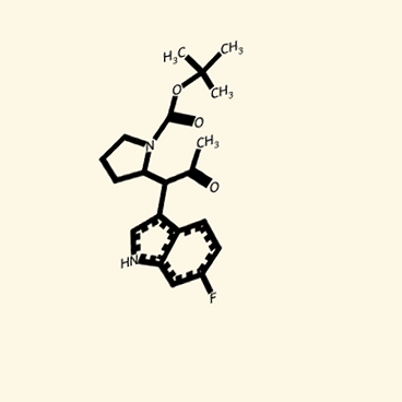 CC(=O)C(c1c[nH]c2cc(F)ccc12)C1CCCN1C(=O)OC(C)(C)C